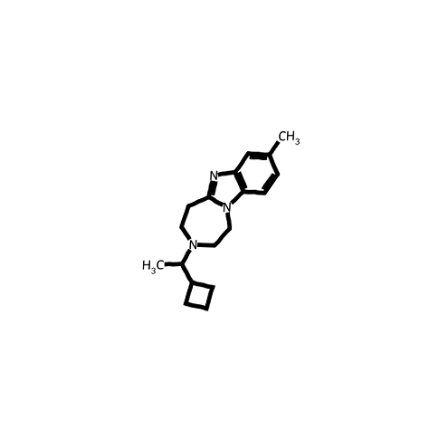 Cc1ccc2c(c1)nc1n2CCN(C(C)C2CCC2)CC1